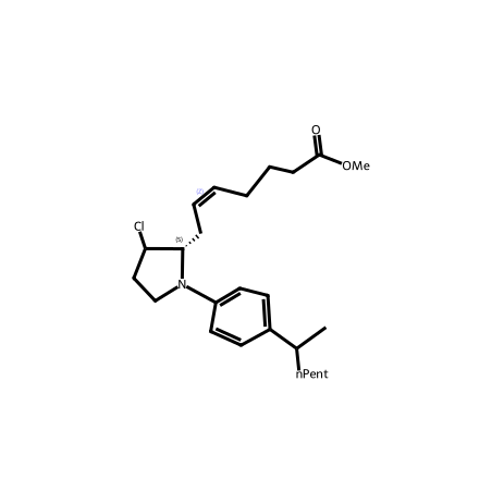 CCCCCC(C)c1ccc(N2CCC(Cl)[C@@H]2C/C=C\CCCC(=O)OC)cc1